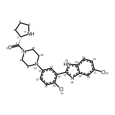 O=C([C@@H]1CCCN1)N1CCN(c2ccc(Cl)c(-c3nc4cc(Cl)ccc4[nH]3)c2)CC1